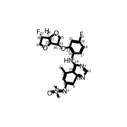 Cc1cc(N=S(C)(C)=O)cc2ncnc(Nc3ccc(F)cc3O[C@@H]3CO[C@H]4C3OC[C@@H]4F)c12